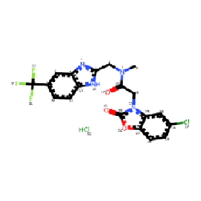 CN(Cc1nc2cc(C(F)(F)F)ccc2[nH]1)C(=O)Cn1c(=O)oc2ccc(Cl)cc21.Cl